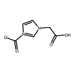 O=C(O)Cn1cc[n+](C(=O)[O-])c1